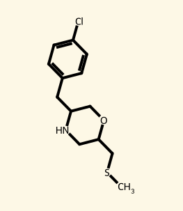 CSCC1CNC(Cc2ccc(Cl)cc2)CO1